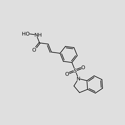 O=C(/C=C/c1cccc(S(=O)(=O)N2CCc3ccccc32)c1)NO